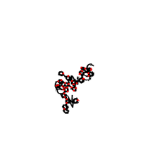 C1=CC2c3ccccc3C3(c4ccccc4Oc4c(-c5cccc(-c6cc(-c7ccc8ccccc8c7)nc(-c7ccccc7)n6)c5)cccc43)C2C=C1c1ccccc1-c1cc(-c2cccc(-c3cccc4c3Oc3ccccc3C43c4ccccc4-c4ccccc43)c2)nc(-c2ccc(-c3ccccc3)cc2)n1